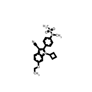 CCOc1ccc2c(C#N)c(-c3ccc(N(C)S(C)(=O)=O)cc3)n(C3CCC3)c2c1